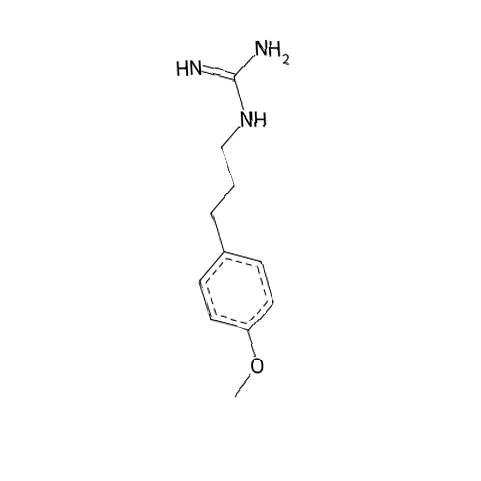 COc1ccc(CCCNC(=N)N)cc1